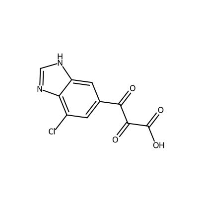 O=C(O)C(=O)C(=O)c1cc(Cl)c2nc[nH]c2c1